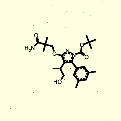 Cc1cc(C)cc(-c2c([C@H](C)CO)c(OCC(C)(C)C(N)=O)nn2C(=O)OC(C)(C)C)c1